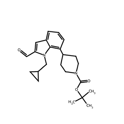 CC(C)(C)OC(=O)N1CCC(c2cccc3cc(C=O)n(CC4CC4)c23)CC1